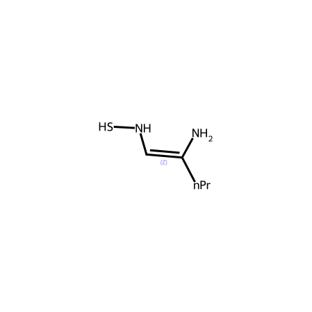 CCC/C(N)=C/NS